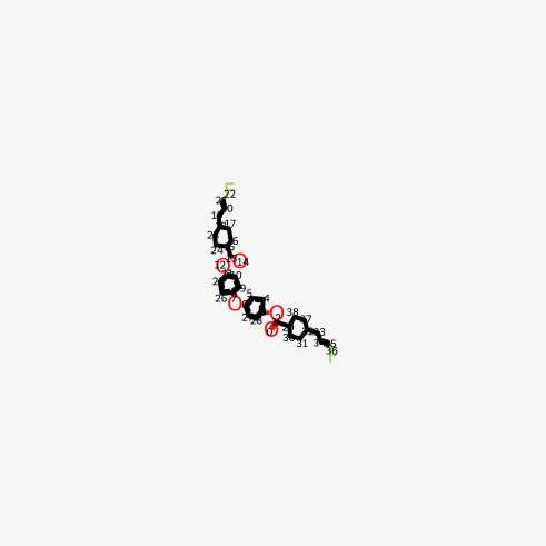 O=C(Oc1ccc(Oc2ccc(OC(=O)C3CCC(CC=CF)CC3)cc2)cc1)C1CCC(CC=CF)CC1